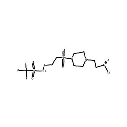 O=[N+]([O-])CCN1CCN(S(=O)(=O)CCSNS(=O)(=O)C(F)(F)F)CC1